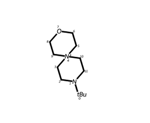 CC(C)(C)N1CC[N+]2(CCOCC2)CC1